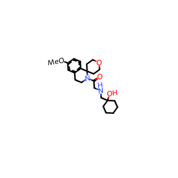 COc1ccc2c(c1)CCN(C(=O)CNCC1(O)CCCCC1)C21CCOCC1